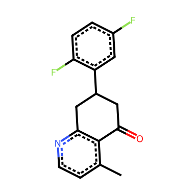 Cc1ccnc2c1C(=O)CC(c1cc(F)ccc1F)C2